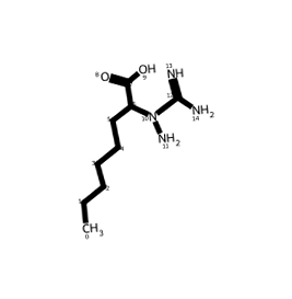 CCCCCCC(C(=O)O)N(N)C(=N)N